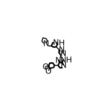 c1cc(-c2ccc3c(c2)OCO3)c2nc(-c3cc(-c4cncc(CN5CCCCC5)c4)[nH]n3)[nH]c2n1